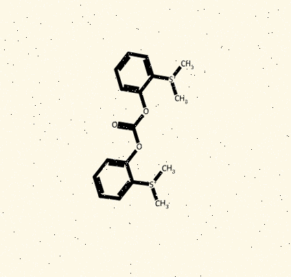 C[S+](C)c1ccccc1OC(=O)Oc1ccccc1[S+](C)C